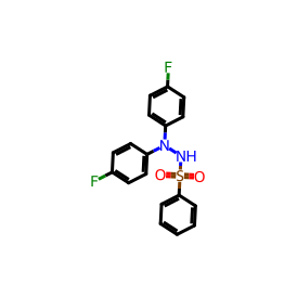 O=S(=O)(NN(c1ccc(F)cc1)c1ccc(F)cc1)c1ccccc1